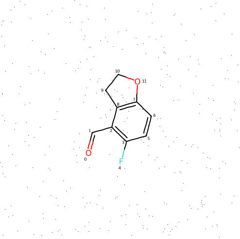 O=Cc1c(F)ccc2c1CCO2